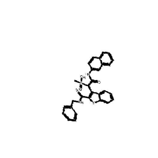 CP(=O)(O)C(C(=O)Nc1ccc2ccccc2c1)c1c(C(=O)NCc2ccccc2)sc2ccccc12